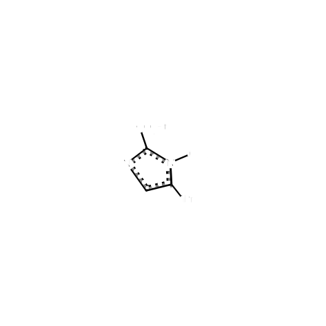 CCOC(=O)c1ncc(C(C)C)n1C